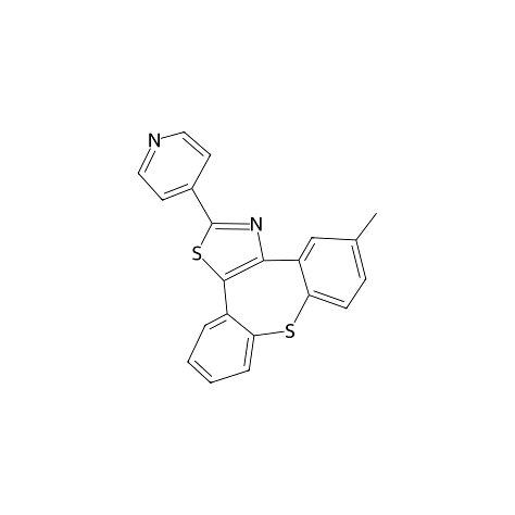 Cc1ccc2c(c1)-c1nc(-c3ccncc3)sc1-c1ccccc1S2